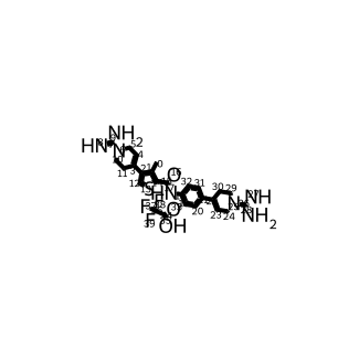 Cc1c(C2=CCN(C(=N)N)CC2)csc1C(=O)Nc1ccc(C2=CCN(C(=N)N)CC2)cc1.O=C(O)C(F)(F)F